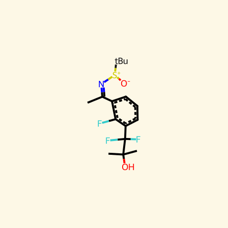 C/C(=N/[S+]([O-])C(C)(C)C)c1cccc(C(F)(F)C(C)(C)O)c1F